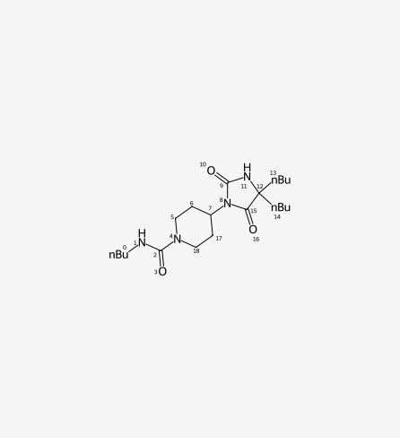 CCCCNC(=O)N1CCC(N2C(=O)NC(CCCC)(CCCC)C2=O)CC1